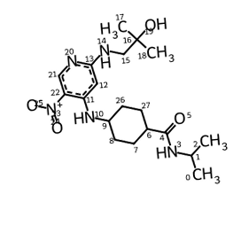 CC(C)NC(=O)C1CCC(Nc2cc(NCC(C)(C)O)ncc2[N+](=O)[O-])CC1